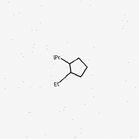 CCC1CCCC1C(C)C